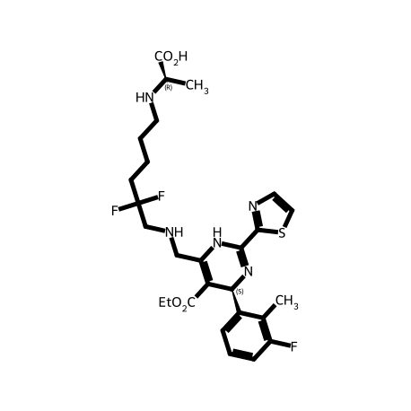 CCOC(=O)C1=C(CNCC(F)(F)CCCCN[C@H](C)C(=O)O)NC(c2nccs2)=N[C@H]1c1cccc(F)c1C